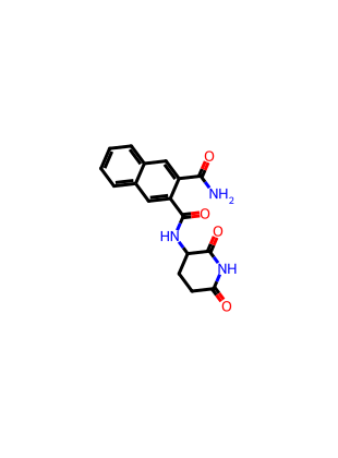 NC(=O)c1cc2ccccc2cc1C(=O)NC1CCC(=O)NC1=O